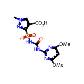 COc1cc(OC)nc(NC(=O)NS(=O)(=O)c2nn(C)cc2C(=O)O)n1